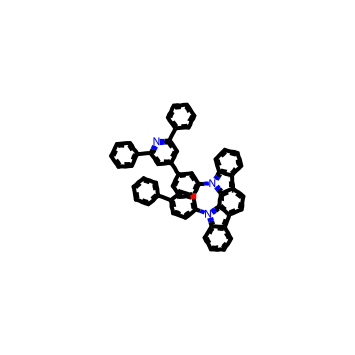 c1ccc(-c2ccc(-n3c4ccccc4c4ccc5c6ccccc6n(-c6cccc(-c7cc(-c8ccccc8)nc(-c8ccccc8)c7)c6)c5c43)cc2)cc1